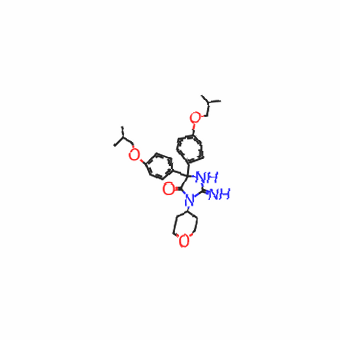 CC(C)COc1ccc(C2(c3ccc(OCC(C)C)cc3)NC(=N)N(C3CCOCC3)C2=O)cc1